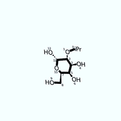 CC(C)O[C@@H]1[C@@H](O)[C@@H](O)[C@@H](CO)O[C@@H]1O